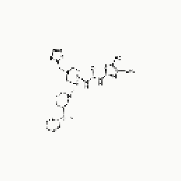 CC(=O)c1sc(NC(=O)N[C@@H]2CCN(Cc3nccs3)C[C@H]2CN2CCCC([C@H](F)c3ccccc3)C2)nc1C